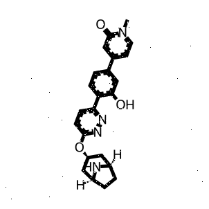 Cn1ccc(-c2ccc(-c3ccc(O[C@H]4C[C@H]5CC[C@@H](C4)N5)nn3)c(O)c2)cc1=O